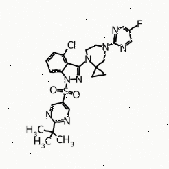 CC(C)(C)c1ncc(S(=O)(=O)n2nc(N3CCN(c4ncc(F)cn4)CC34CC4)c3c(Cl)cccc32)cn1